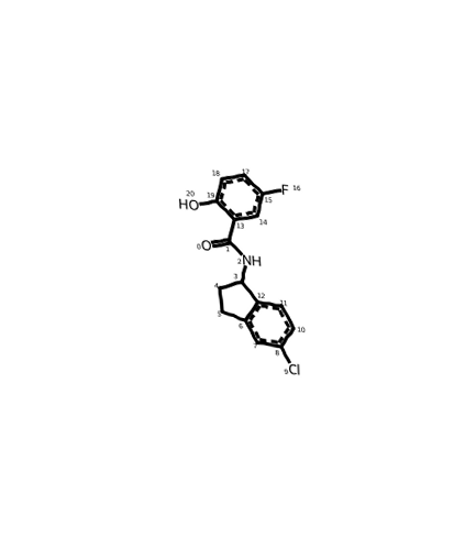 O=C(NC1CCc2cc(Cl)ccc21)c1cc(F)ccc1O